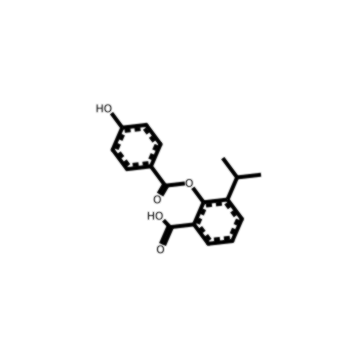 CC(C)c1cccc(C(=O)O)c1OC(=O)c1ccc(O)cc1